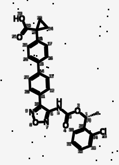 C[C@@H](OC(=O)Nc1nonc1-c1ccc(-c2ccc(C3(C(=O)O)CC3)cc2)cc1)c1ccccc1Cl